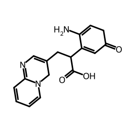 NC1=CCC(=O)C=C1C(CC1=CN=C2C=CC=CN2C1)C(=O)O